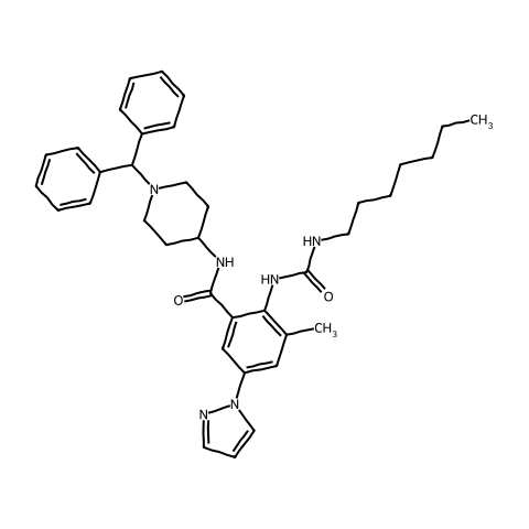 CCCCCCCNC(=O)Nc1c(C)cc(-n2cccn2)cc1C(=O)NC1CCN(C(c2ccccc2)c2ccccc2)CC1